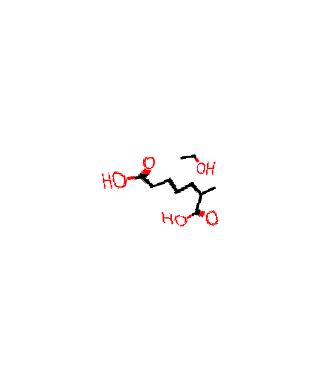 CC(CCCCC(=O)O)C(=O)O.CCO